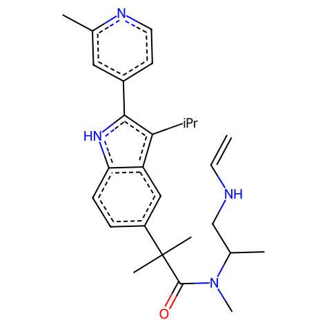 C=CNCC(C)N(C)C(=O)C(C)(C)c1ccc2[nH]c(-c3ccnc(C)c3)c(C(C)C)c2c1